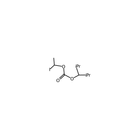 CC(I)OC(=O)OC(C(C)C)C(C)C